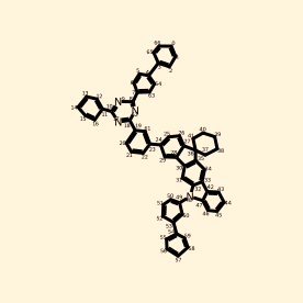 c1ccc(-c2ccc(-c3nc(-c4ccccc4)nc(-c4cccc(-c5ccc6c(c5)-c5cc7c(cc5C65CCCCC5)c5ccccc5n7-c5cccc(-c6ccccc6)c5)c4)n3)cc2)cc1